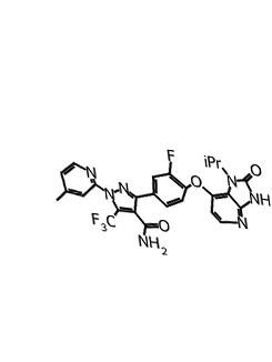 Cc1ccnc(-n2nc(-c3ccc(Oc4ccnc5[nH]c(=O)n(C(C)C)c45)c(F)c3)c(C(N)=O)c2C(F)(F)F)c1